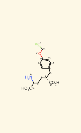 N[C@@H](CC[C@H](Cc1ccc(OC[18F])cc1)C(=O)O)C(=O)O